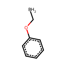 BCOc1ccccc1